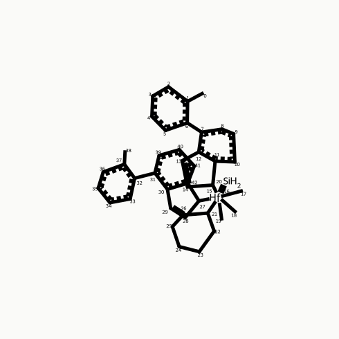 Cc1ccccc1-c1cccc2c1C=C[CH]2[Hf]([CH3])([CH3])([CH3])(=[SiH2])([CH]1CCCCC1)[CH]1C=Cc2c(-c3ccccc3C)cccc21